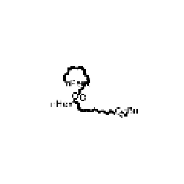 CCCCC/C=C\C/C=C\C/C=C\C/C=C\CCCC(=O)OC(C/C=C\CCCCCCCCO[Si](C)(C)C(C)(C)C)CCCCCC